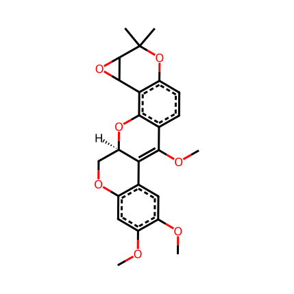 COC1=C2c3cc(OC)c(OC)cc3OC[C@H]2Oc2c1ccc1c2C2OC2C(C)(C)O1